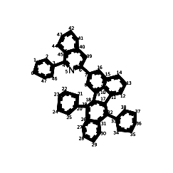 c1ccc(-c2nc(-c3cc4c5c(cccc5c3)-c3c-4c(-c4ccccc4)c4ccccc4c3-c3ccccc3)cc3ccccc23)cc1